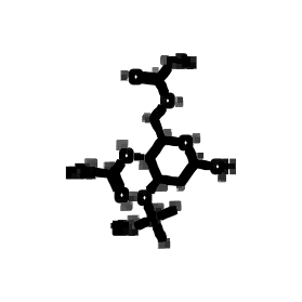 CCCCC(=O)OC[C@H]1OC(O)C[C@@H](O[Si](C)(C)C(C)(C)C)[C@@H]1OC(=O)CCCC